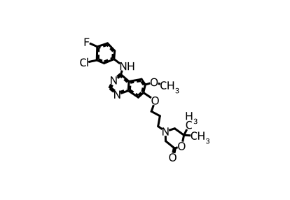 COc1cc2c(Nc3ccc(F)c(Cl)c3)ncnc2cc1OCCCN1CC(=O)OC(C)(C)C1